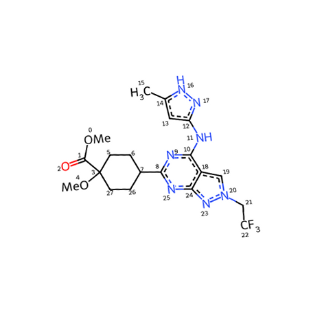 COC(=O)C1(OC)CCC(c2nc(Nc3cc(C)[nH]n3)c3cn(CC(F)(F)F)nc3n2)CC1